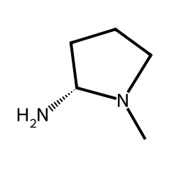 CN1CCC[C@H]1N